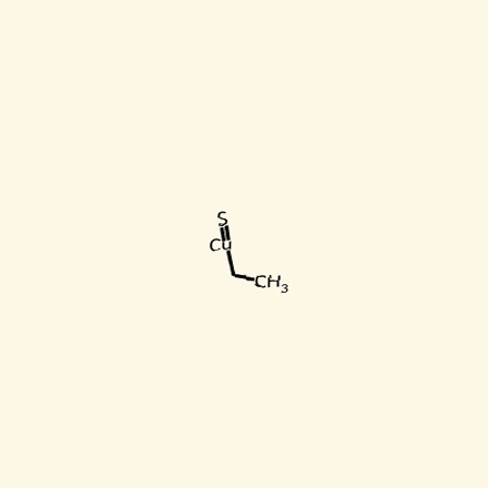 C[CH2][Cu]=[S]